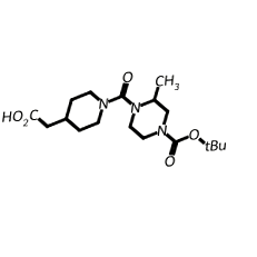 CC1CN(C(=O)OC(C)(C)C)CCN1C(=O)N1CCC(CC(=O)O)CC1